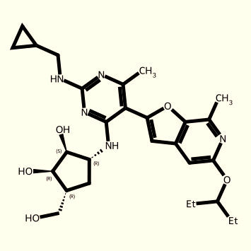 CCC(CC)Oc1cc2cc(-c3c(C)nc(NCC4CC4)nc3N[C@@H]3C[C@H](CO)[C@@H](O)[C@H]3O)oc2c(C)n1